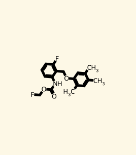 Cc1cc(C)c(OCc2c(F)cccc2NC(=O)OCF)cc1C